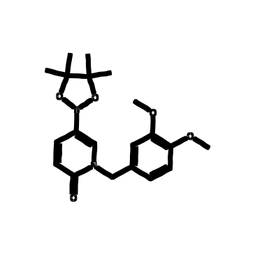 COc1ccc(Cn2cc(B3OC(C)(C)C(C)(C)O3)ccc2=O)cc1OC